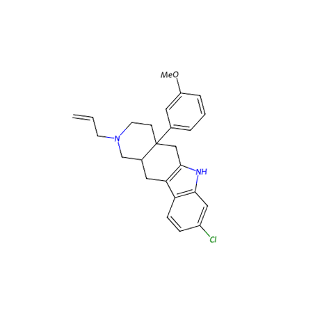 C=CCN1CCC2(c3cccc(OC)c3)Cc3[nH]c4cc(Cl)ccc4c3CC2C1